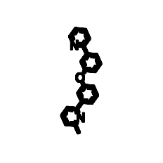 Cc1cccc(-c2cccc(Oc3cccc(-c4ccccn4)c3)c2)n1